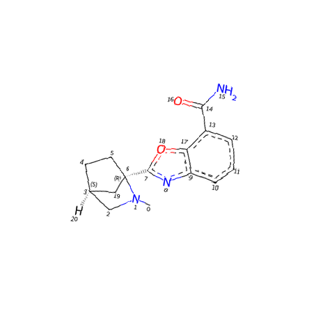 CN1C[C@H]2CC[C@]1(c1nc3cccc(C(N)=O)c3o1)C2